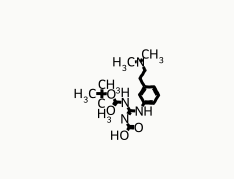 CN(C)CCc1cccc(N/C(=N\C(=O)O)NC(=O)OC(C)(C)C)c1